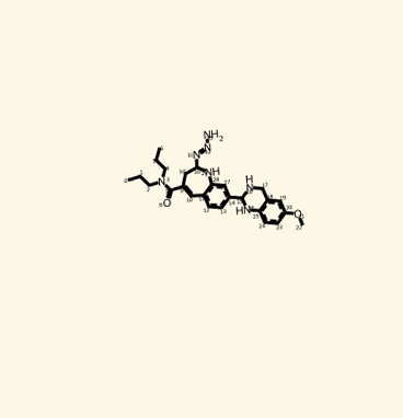 CCCN(CCC)C(=O)C1=Cc2ccc(C3NCc4cc(OC)ccc4N3)cc2NC(N=NN)C1